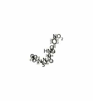 CS(=O)(=O)OC1CN(c2nc(C(=O)N3CC(NC(=O)OCc4ccc([N+](=O)[O-])cc4)C3)cs2)C1